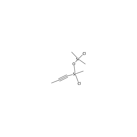 CC#C[Si](C)(Cl)O[Si](C)(C)Cl